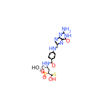 Nc1nc2ncc(CNc3ccc(C(=O)N[C@@H](CC(C(O)=S)P(=O)=O)C(=O)O)cc3)nc2c(=O)[nH]1